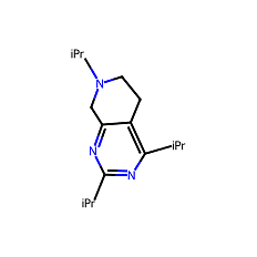 CC(C)c1nc2c(c(C(C)C)n1)CCN(C(C)C)C2